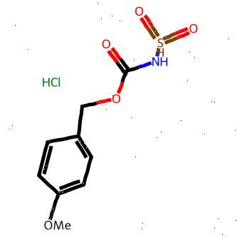 COc1ccc(COC(=O)N[SH](=O)=O)cc1.Cl